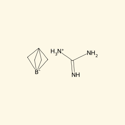 C1[B-]23CC1(C2)C3.N=C(N)[NH3+]